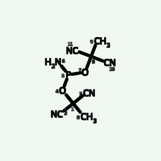 CC(C#N)(C#N)OP(N)OC(C)(C#N)C#N